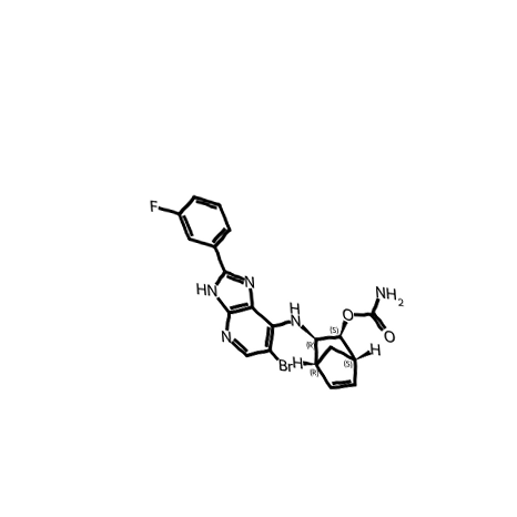 NC(=O)O[C@@H]1[C@H](Nc2c(Br)cnc3[nH]c(-c4cccc(F)c4)nc23)[C@H]2C=C[C@@H]1C2